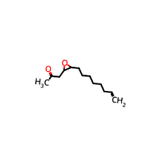 C=CCCCCCCC1OC1CC(C)=O